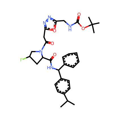 CC(C)c1ccc(C(NC(=O)C2CC(F)CN2C(=O)Cc2nnc(CNC(=O)OC(C)(C)C)o2)c2ccccc2)cc1